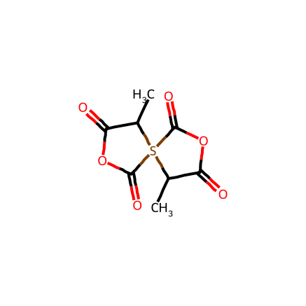 CC1C(=O)OC(=O)S12C(=O)OC(=O)C2C